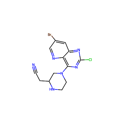 N#CCC1CN(c2nc(Cl)nc3cc(Br)cnc23)CCN1